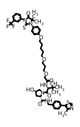 Cc1ncsc1-c1ccc(CNC(=O)[C@@H]2C[C@@H](O)CN2C(=O)[C@@H](NC(=O)COCCCOCCCCCOc2ccc(N3C(=S)N(c4cccc(C(F)(F)F)c4)C(=O)C3(C)C)cc2)C(C)(C)C)cc1